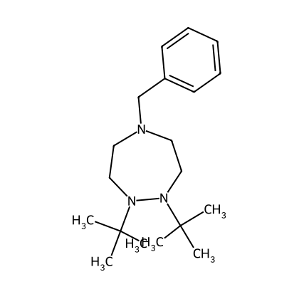 CC(C)(C)N1CCN(Cc2ccccc2)CCN1C(C)(C)C